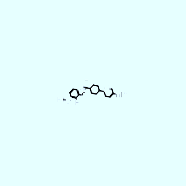 CCCC1=CCC(C2CCC(C(F)(F)Oc3ccc(OCC)c(F)c3F)CC2)OC1